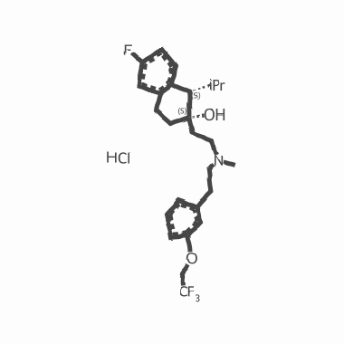 CC(C)[C@H]1c2ccc(F)cc2CC[C@]1(O)CCN(C)CCc1cccc(OCC(F)(F)F)c1.Cl